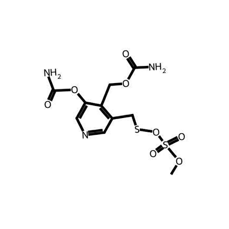 COS(=O)(=O)OSCc1cncc(OC(N)=O)c1COC(N)=O